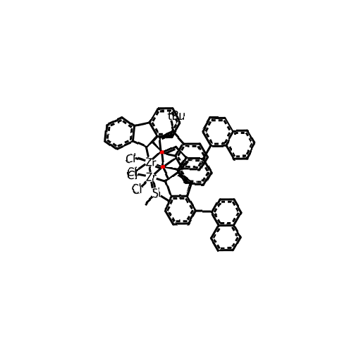 CC1=Cc2c(-c3cccc4ccccc34)cccc2[CH]1[Zr]([Cl])([Cl])([CH]1C(C)=Cc2c(-c3cccc4ccccc34)cccc21)(=[Si](C)C)[Zr]([Cl])([Cl])(=[C](C)C)([CH]1C=C(C(C)(C)C)c2ccccc21)[CH]1c2ccccc2-c2ccccc21